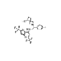 OC1CCC12CN(C(CNc1cc(C(F)(F)F)nc3cc(C(F)(F)F)nn13)c1ccc(F)cc1)C2